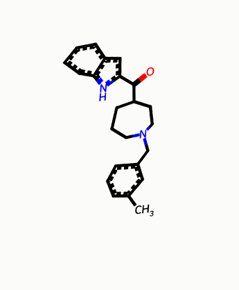 Cc1cccc(CN2CCCC(C(=O)c3cc4ccccc4[nH]3)CC2)c1